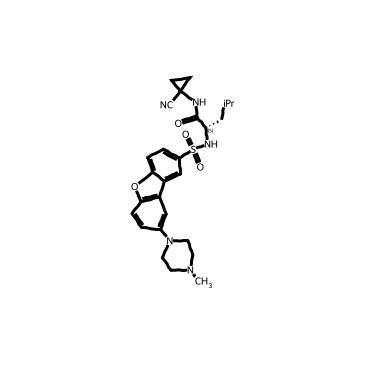 CC(C)C[C@H](NS(=O)(=O)c1ccc2oc3ccc(N4CCN(C)CC4)cc3c2c1)C(=O)NC1(C#N)CC1